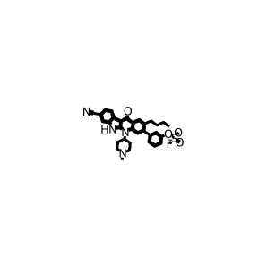 CCCCc1cc2c(=O)c3c4ccc(C#N)cc4[nH]c3n(C3CCN(C)CC3)c2cc1-c1cccc(OS(=O)(=O)F)c1